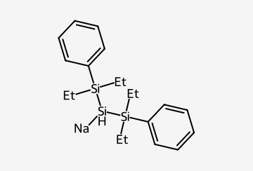 CC[Si](CC)(c1ccccc1)[SiH]([Na])[Si](CC)(CC)c1ccccc1